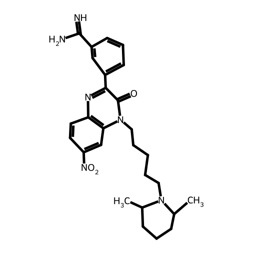 CC1CCCC(C)N1CCCCCn1c(=O)c(-c2cccc(C(=N)N)c2)nc2ccc([N+](=O)[O-])cc21